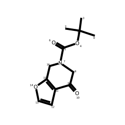 CC(C)(C)OC(=O)N1CC(=O)c2ccoc2C1